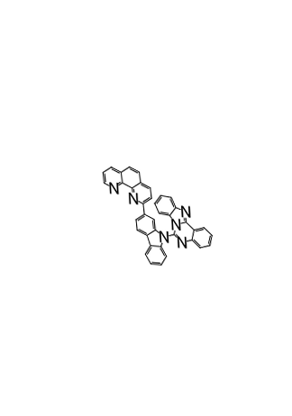 c1cnc2c(c1)ccc1ccc(-c3ccc4c5ccccc5n(-c5nc6ccccc6c6nc7ccccc7n56)c4c3)nc12